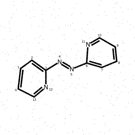 c1ccc(N=Nc2ccccn2)nc1